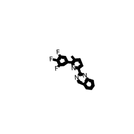 Cc1ccc(-c2ncc3ccccc3n2)nc1-c1cc(F)c(F)c(F)c1